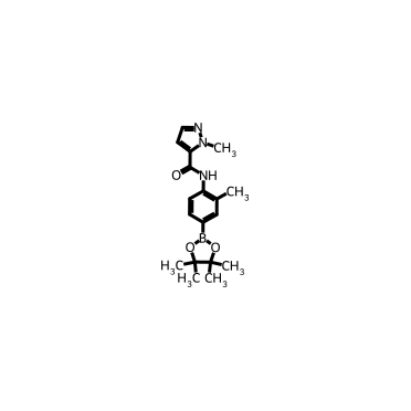 Cc1cc(B2OC(C)(C)C(C)(C)O2)ccc1NC(=O)c1ccnn1C